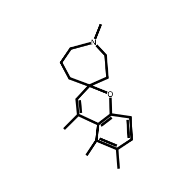 CC1=CC2(CCCN(C)CC2)Oc2ccc(C)c(C)c21